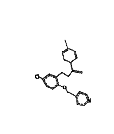 C=C(CCc1cc(Cl)ccc1OCc1ccncc1)C1C=CC(C)=CC1